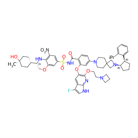 CC(C)c1ccccc1[C@H]1CCC[C@H]1N1CC2(CCN(c3ccc(C(=O)NS(=O)(=O)c4cc5c(c([N+](=O)[O-])c4)N[C@@H]([C@H]4CC[C@](C)(O)CC4)CO5)c(Oc4cc5c(F)c[nH]c5nc4OCCN4CCC4)c3)CC2)C1